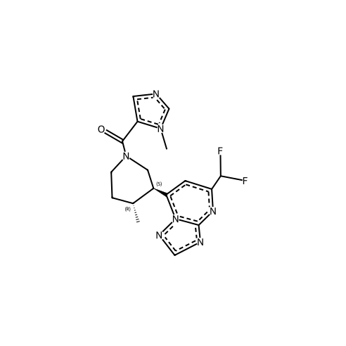 C[C@@H]1CCN(C(=O)c2cncn2C)C[C@H]1c1cc(C(F)F)nc2ncnn12